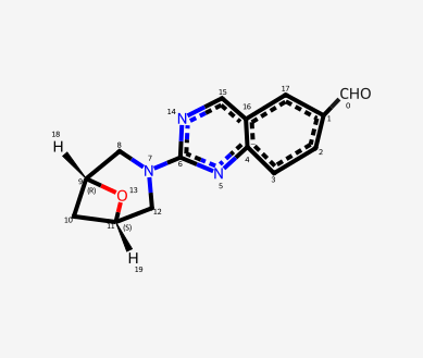 O=Cc1ccc2nc(N3C[C@H]4C[C@@H](C3)O4)ncc2c1